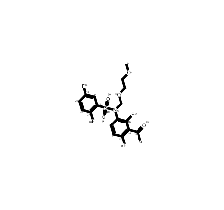 COCCOCN(c1ccc(F)c(C(C)=O)c1F)S(=O)(=O)c1cc(F)ccc1F